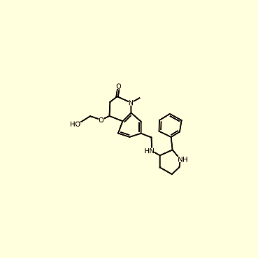 CN1C(=O)CC(OCO)c2ccc(CNC3CCCNC3c3ccccc3)cc21